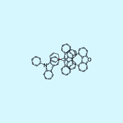 c1ccc2c(C3C=CC=CC3)c3ccccc3c(-c3cccc4oc5cccc(-c6c7ccccc7c(-c7ccc8c(c7)c7ccccc7n8-c7ccccc7)c7ccccc67)c5c34)c2c#1